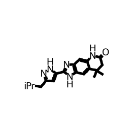 CC(C)Cc1cc(-c2nc3cc4c(cc3[nH]2)C(C)(C)CC(=O)N4)[nH]n1